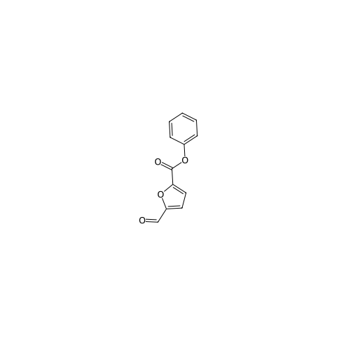 O=Cc1ccc(C(=O)Oc2ccccc2)o1